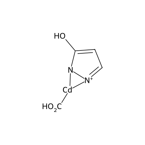 O=[C](O)[Cd]1[n]2c(O)cc[n+]21